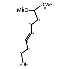 COC(CC/C=C/CCO)OC